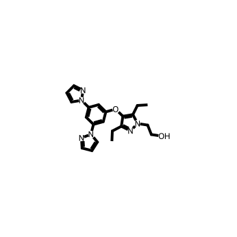 CCc1nn(CCO)c(CC)c1Oc1cc(-n2cccn2)cc(-n2cccn2)c1